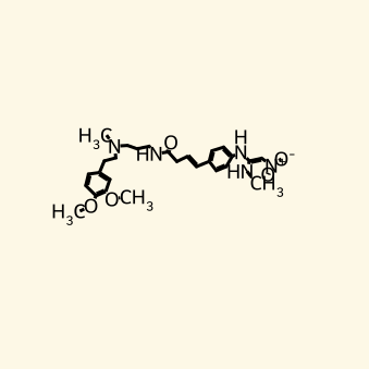 CNC(=C[N+](=O)[O-])Nc1ccc(/C=C/CC(=O)NCCCN(C)CCc2ccc(OC)c(OC)c2)cc1